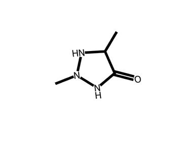 CC1NN(C)NC1=O